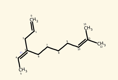 C=CC/C(=C/C)CCCCC=C(C)C